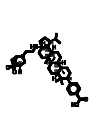 CC(C)[C@@H]1CC[C@]2(NCCN3C[C@@H]4CC3CS4(=O)=O)CC[C@]3(C)[C@H](CC[C@@H]4[C@@]5(C)CC[C@@H](c6ccc(C(=O)O)cc6)C(C)(C)[C@@H]5CC[C@]43C)[C@@H]12